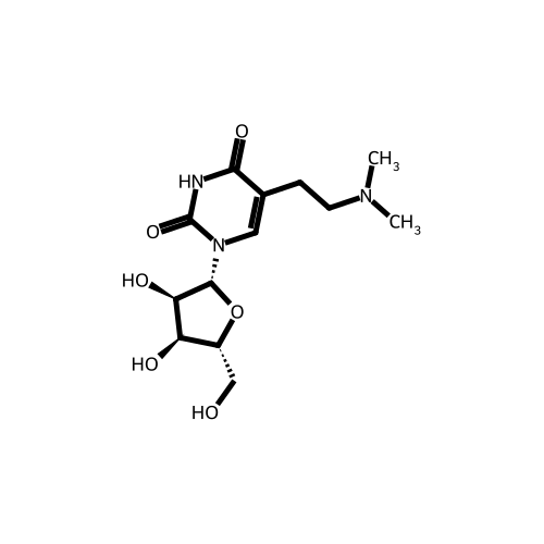 CN(C)CCc1cn([C@@H]2O[C@H](CO)[C@@H](O)[C@H]2O)c(=O)[nH]c1=O